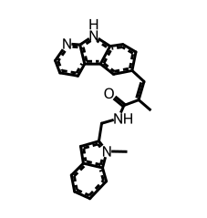 CC(=Cc1ccc2[nH]c3ncccc3c2c1)C(=O)NCc1cc2ccccc2n1C